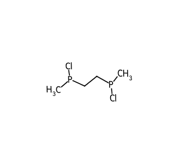 CP(Cl)CCP(C)Cl